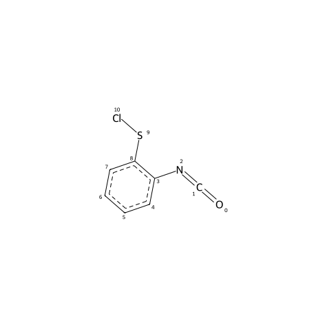 O=C=Nc1ccccc1SCl